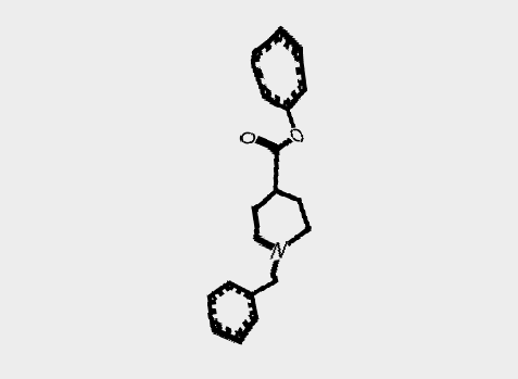 O=C(Oc1ccccc1)C1CCN(Cc2ccccc2)CC1